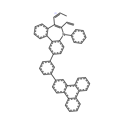 C=CC1=C(/C=C\C)c2ccccc2-c2cc(-c3cccc(-c4ccc5c6ccccc6c6ccccc6c5c4)c3)ccc2N1c1ccccc1